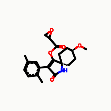 CO[C@H]1CC[C@]2(CC1)NC(=O)C(c1cc(C)ccc1C)=C2OC(=O)C1CO1